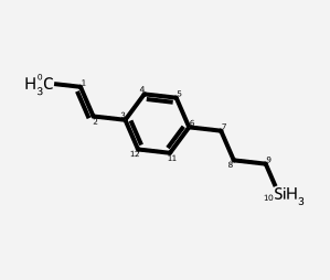 C/C=C/c1ccc(CCC[SiH3])cc1